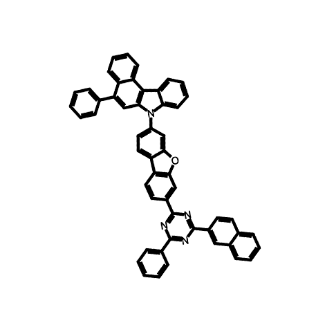 c1ccc(-c2nc(-c3ccc4ccccc4c3)nc(-c3ccc4c(c3)oc3cc(-n5c6ccccc6c6c7ccccc7c(-c7ccccc7)cc65)ccc34)n2)cc1